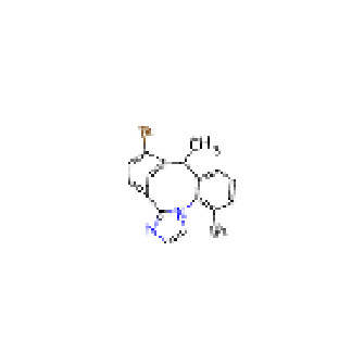 CC(C)c1cccc2c1-n1ccnc1-c1ccc(Br)c(c1)C2C